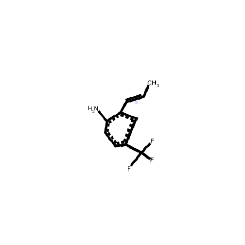 C/C=C/c1cc(C(F)(F)F)ccc1N